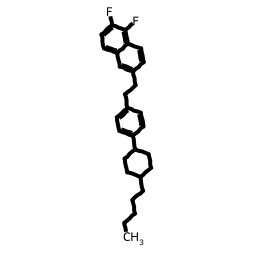 CCCCCC1CCC(c2ccc(CCc3ccc4c(F)c(F)ccc4c3)cc2)CC1